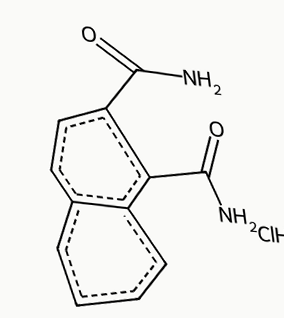 Cl.NC(=O)c1ccc2ccccc2c1C(N)=O